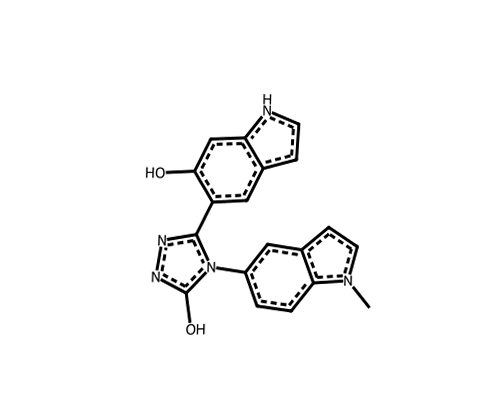 Cn1ccc2cc(-n3c(O)nnc3-c3cc4cc[nH]c4cc3O)ccc21